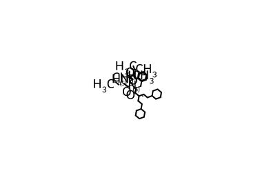 CC(C)C[C@H](NC(=O)OC(C)(C)C)C(=O)N[C@@H](Cc1ccccc1)C(=O)[C](CCC1CCCCC1)CCC1CCCCC1